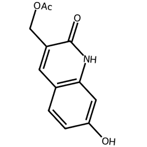 CC(=O)OCc1cc2ccc(O)cc2[nH]c1=O